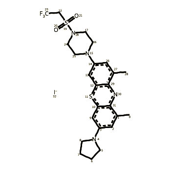 Cc1cc(N2CCCC2)cc2[s+]c3cc(N4CCN(S(=O)(=O)CC(F)(F)F)CC4)cc(C)c3nc12.[I-]